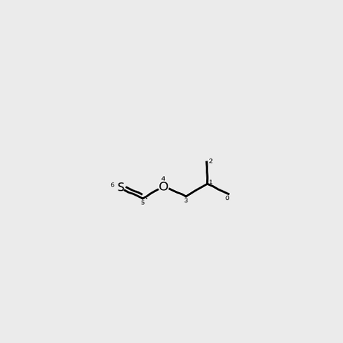 CC(C)CO[C]=S